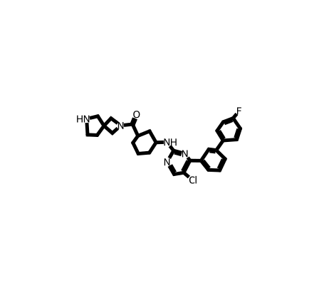 O=C(C1CCCC(Nc2ncc(Cl)c(-c3cccc(-c4ccc(F)cc4)c3)n2)C1)N1CC2(CCNC2)C1